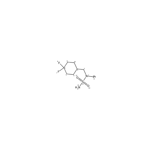 CC(C)N(CC1CCC(F)(F)CC1)S(N)(=O)=O